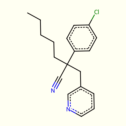 CCCCCC(C#N)(Cc1cccnc1)c1ccc(Cl)cc1